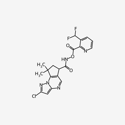 CC1(C)CC(C(=O)NOC(=O)c2ncccc2C(F)F)c2cnc3cc(Cl)nn3c21